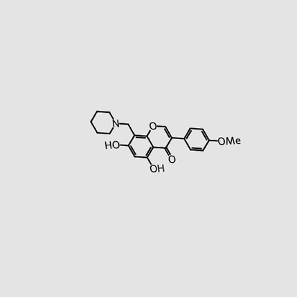 COc1ccc(-c2coc3c(CN4CCCCC4)c(O)cc(O)c3c2=O)cc1